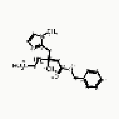 Cn1ccnc1CC(C)(CC(=O)OCc1ccccc1)NCC(=O)O